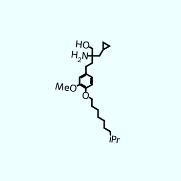 COc1cc(CCC(N)(CO)CC2CC2)ccc1OCCCCCCCC(C)C